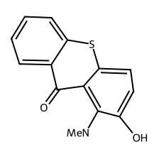 CNc1c(O)ccc2sc3ccccc3c(=O)c12